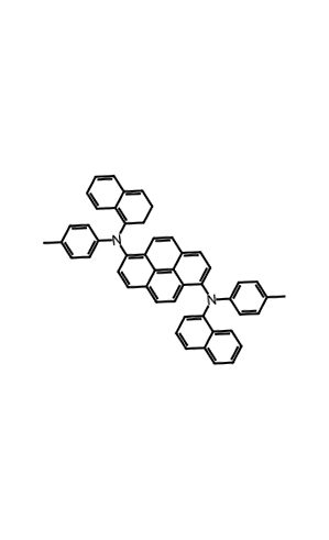 Cc1ccc(N(C2=c3ccccc3=CCC2)c2ccc3ccc4c(N(c5ccc(C)cc5)c5cccc6ccccc56)ccc5ccc2c3c54)cc1